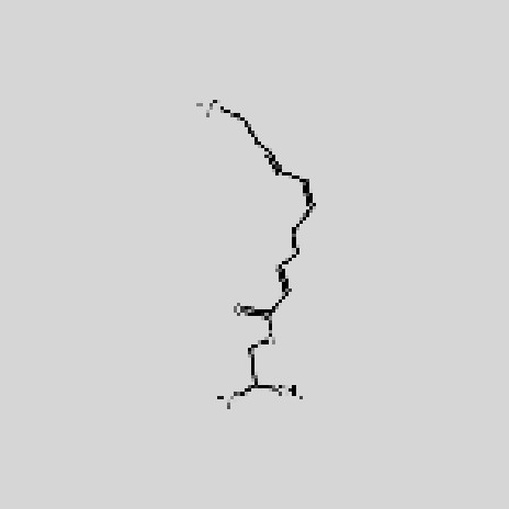 CCC/C=C/C=C\CC/C=C/C(=O)NCC(C)C